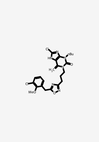 C=C1c2[nH]c(Cl)nc2N(CCCC)C(=O)N1CCCc1noc(Cc2cccc(Cl)c2OC)n1